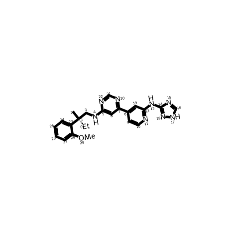 CC[C@](C)(CNc1cc(-c2ccnc(Nc3nc[nH]n3)c2)ncn1)c1ccccc1OC